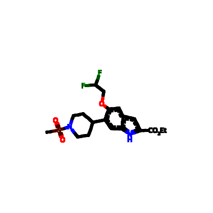 CCOC(=O)c1cc2cc(OCC(F)F)c(C3CCN(S(C)(=O)=O)CC3)cc2[nH]1